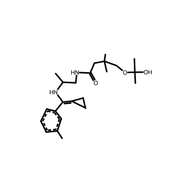 Cc1cccc(C(NC(C)CNC(=O)CC(C)(C)COC(C)(C)O)=C2CC2)c1